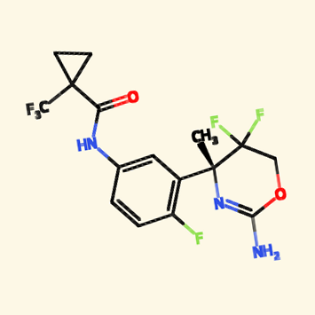 C[C@]1(c2cc(NC(=O)C3(C(F)(F)F)CC3)ccc2F)N=C(N)OCC1(F)F